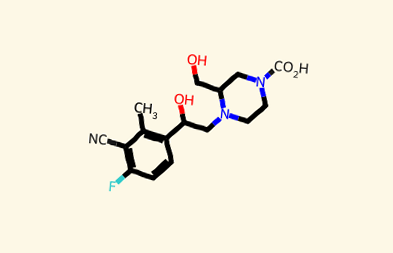 Cc1c(C(O)CN2CCN(C(=O)O)CC2CO)ccc(F)c1C#N